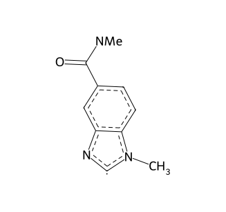 CNC(=O)c1ccc2c(c1)n[c]n2C